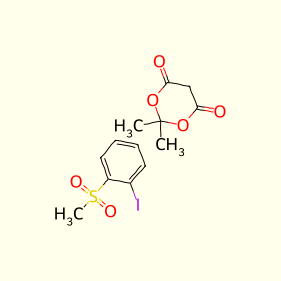 CC1(C)OC(=O)CC(=O)O1.CS(=O)(=O)c1ccccc1I